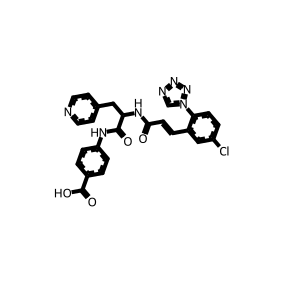 O=C(C=Cc1cc(Cl)ccc1-n1cnnn1)NC(Cc1ccncc1)C(=O)Nc1ccc(C(=O)O)cc1